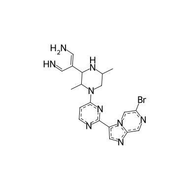 CC1CN(c2ccnc(-c3cnc4cnc(Br)cn34)n2)C(C)C(/C(C=N)=C/N)N1